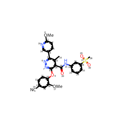 COc1ccc(-c2nnc(Oc3ccc(C#N)cc3OC)c(C(=O)Nc3cccc(S(C)(=O)=O)c3)c2C)cn1